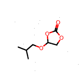 CC(C)COC1COC(=O)O1